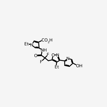 CCc1c(-c2ccc(O)cn2)noc1CC(F)(F)C(=O)Nc1cn(CC)cc1C(=O)O